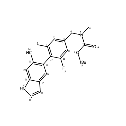 Cc1cc(CN(C)C(=O)OC(C)(C)C)cc(F)c1-c1cc2cn[nH]c2cc1C#N